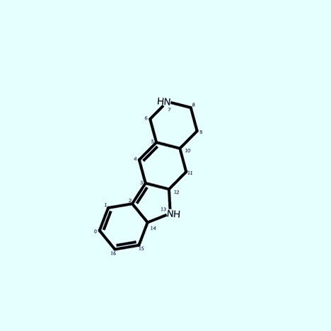 C1=CC2=C3C=C4CNCCC4CC3NC2C=C1